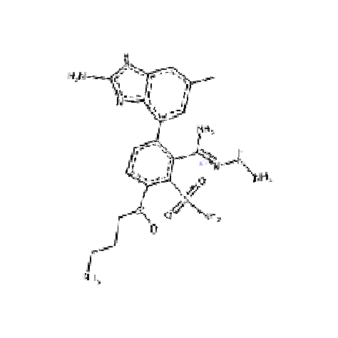 Cc1cc(-c2ccc([S+]([O-])CCCN)c(S(N)(=O)=O)c2/C(N)=N/NN)c2nc(N)[nH]c2c1